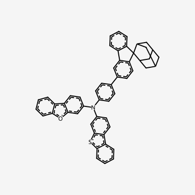 c1ccc2c(c1)-c1cc(-c3ccc(N(c4ccc5c(c4)oc4ccccc45)c4ccc5c(c4)sc4ccccc45)cc3)ccc1C21C2CC3CC(C2)CC1C3